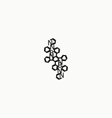 c1ccc(N2c3ccccc3B3c4c(cccc42)-c2c4c5ccccc5n5c4c(c4c6ccccc6n3c24)-c2cccc3c2B5c2ccccc2N3c2ccccn2)nc1